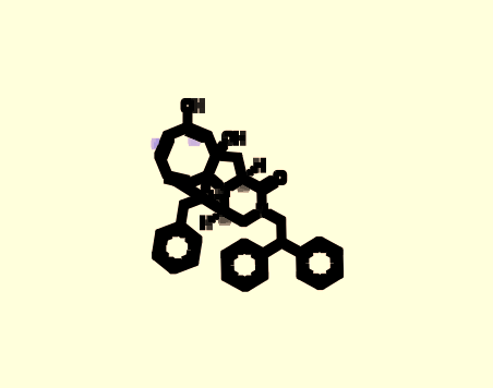 O=C1[C@@H]2CC3(O)/C=C(O)\C=C/C4=CC3(NCc3ccccc3)N2[C@H]4CN1CC(c1ccccc1)c1ccccc1